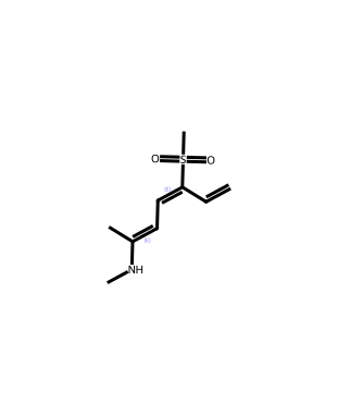 C=C/C(=C\C=C(/C)NC)S(C)(=O)=O